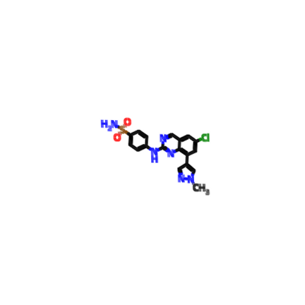 Cn1cc(-c2cc(Cl)cc3cnc(Nc4ccc(S(N)(=O)=O)cc4)nc23)cn1